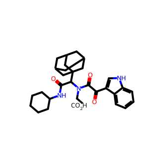 O=C(O)CN(C(=O)C(=O)c1c[nH]c2ccccc12)C(C(=O)NC1CCCCC1)C12CC3CC(CC(C3)C1)C2